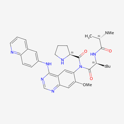 CN[C@@H](C)C(=O)N[C@H](C(=O)N(C(=O)[C@@H]1CCCN1)c1cc2c(Nc3ccc4ncccc4c3)ncnc2cc1OC)C(C)(C)C